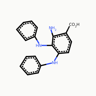 Nc1c(C(=O)O)ccc(Nc2ccccc2)c1Nc1ccccc1